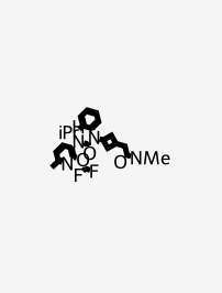 CNC(=O)CC1CC(N(C(=O)Nc2ccc(C)nc2OC(F)F)c2ccccc2C(C)C)C1